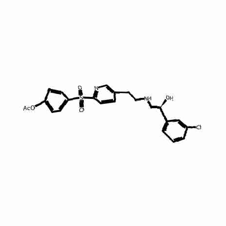 CC(=O)Oc1ccc(S(=O)(=O)c2ccc(CCNC[C@@H](O)c3cccc(Cl)c3)cn2)cc1